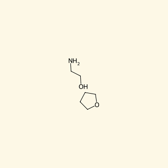 C1CCOC1.NCCO